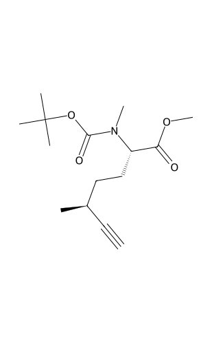 C#C[C@@H](C)CC[C@@H](C(=O)OC)N(C)C(=O)OC(C)(C)C